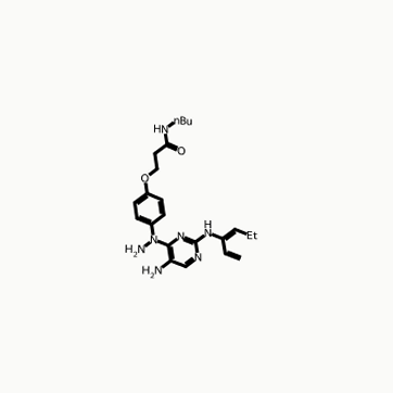 C=C/C(=C\CC)Nc1ncc(N)c(N(N)c2ccc(OCCC(=O)NCCCC)cc2)n1